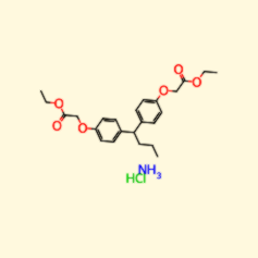 CCCC(c1ccc(OCC(=O)OCC)cc1)c1ccc(OCC(=O)OCC)cc1.Cl.N